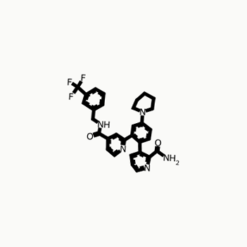 NC(=O)c1ncccc1-c1ccc(N2CCCCC2)cc1-c1cc(C(=O)NCc2cccc(C(F)(F)F)c2)ccn1